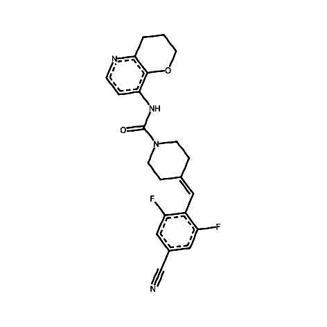 N#Cc1cc(F)c(C=C2CCN(C(=O)Nc3ccnc4c3OCCC4)CC2)c(F)c1